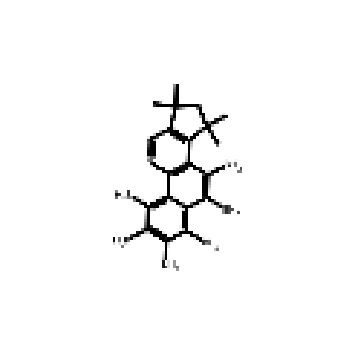 Bc1c(B)c(B)c2c(c1B)c(B)c(B)c1c3c(cnc12)C(C)(C)CC3(C)C